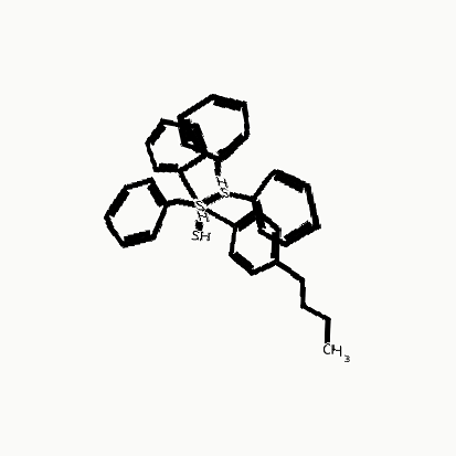 CCCCc1ccc([SH](S)(c2ccccc2)(c2ccccc2)[SH](c2ccccc2)c2ccccc2)cc1